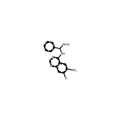 CC(=O)NC(Nc1ncnc2cc(Cl)c([N+](=O)[O-])cc12)c1ccccc1